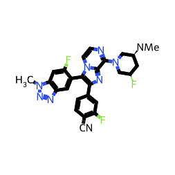 CN[C@@H]1C[C@H](F)CN(c2nccn3c(-c4cc5nnn(C)c5cc4F)c(-c4ccc(C#N)c(F)c4)nc23)C1